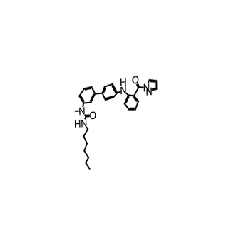 CCCCCCCNC(=O)N(C)c1cccc(-c2ccc(Nc3ccccc3C(=O)n3cccn3)cc2)c1